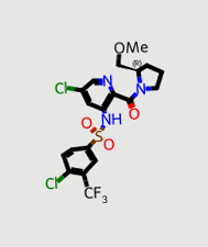 COC[C@H]1CCCN1C(=O)c1ncc(Cl)cc1NS(=O)(=O)c1ccc(Cl)c(C(F)(F)F)c1